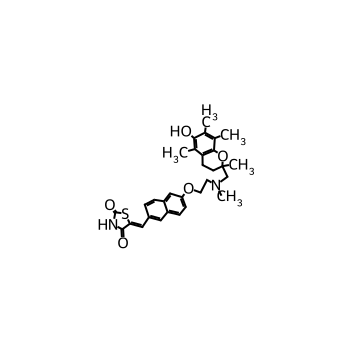 Cc1c(C)c2c(c(C)c1O)CCC(C)(CN(C)CCOc1ccc3cc(/C=C4\SC(=O)NC4=O)ccc3c1)O2